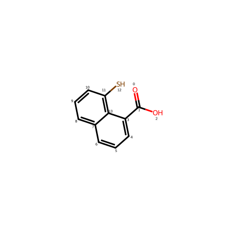 O=C(O)c1cccc2cccc(S)c12